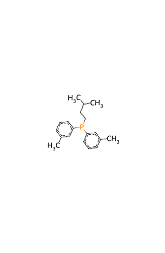 Cc1cccc(P(CCC(C)C)c2cccc(C)c2)c1